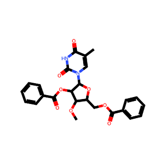 COC1C(COC(=O)c2ccccc2)OC(n2cc(C)c(=O)[nH]c2=O)C1OC(=O)c1ccccc1